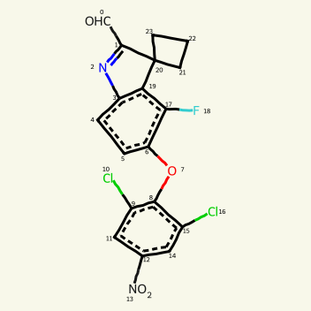 O=CC1=Nc2ccc(Oc3c(Cl)cc([N+](=O)[O-])cc3Cl)c(F)c2C12CCC2